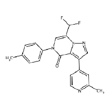 Cc1ccc(-n2cc(C(F)F)n3ncc(-c4ccnc(C)c4)c3c2=O)cc1